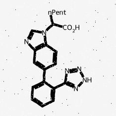 CCCCCC(C(=O)O)n1cnc2cc(-c3ccccc3-c3nn[nH]n3)ccc21